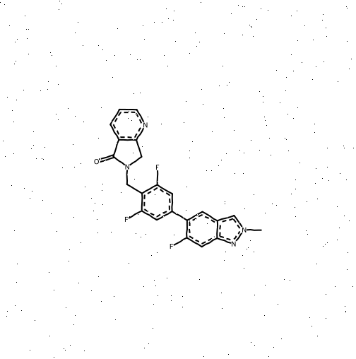 Cn1cc2cc(-c3cc(F)c(CN4Cc5ncccc5C4=O)c(F)c3)c(F)cc2n1